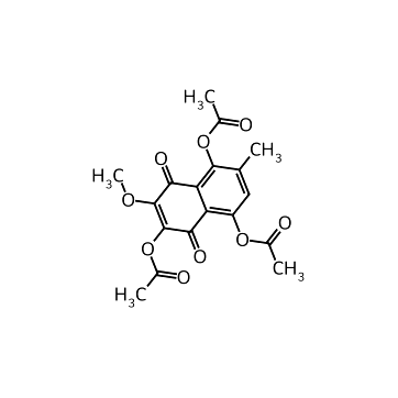 COC1=C(OC(C)=O)C(=O)c2c(OC(C)=O)cc(C)c(OC(C)=O)c2C1=O